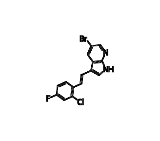 Fc1ccc(C=Cc2c[nH]c3ncc(Br)cc23)c(Cl)c1